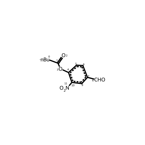 CCC[CH]C(=O)Oc1ccc(C=O)cc1[N+](=O)[O-]